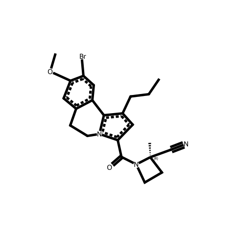 CCCc1cc(C(=O)N2CC[C@]2(C)C#N)n2c1-c1cc(Br)c(OC)cc1CC2